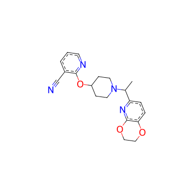 CC(c1ccc2c(n1)OCCO2)N1CCC(Oc2ncccc2C#N)CC1